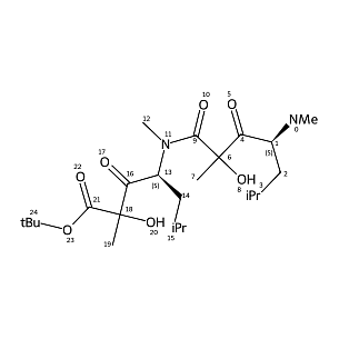 CN[C@@H](CC(C)C)C(=O)C(C)(O)C(=O)N(C)[C@@H](CC(C)C)C(=O)C(C)(O)C(=O)OC(C)(C)C